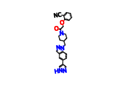 N#Cc1ccccc1OCC(=O)N1CCC(Cn2ncc3cc(-c4cn[nH]c4)ccc32)CC1